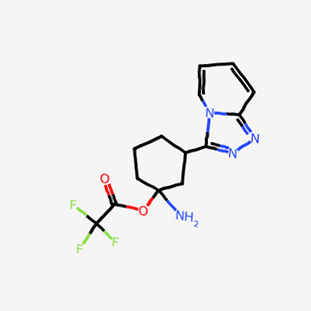 NC1(OC(=O)C(F)(F)F)CCCC(c2nnc3ccccn23)C1